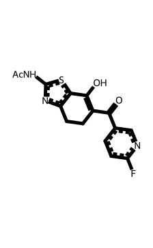 CC(=O)Nc1nc2c(s1)C(O)=C(C(=O)c1ccc(F)nc1)CC2